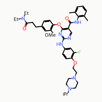 CCN(CC)C(=O)CCc1ccc(Oc2nc(Nc3ccc(OCCN4CCN(C(C)C)CC4)c(F)c3)ncc2C(=O)Nc2c(C)cccc2C)c(OC)c1